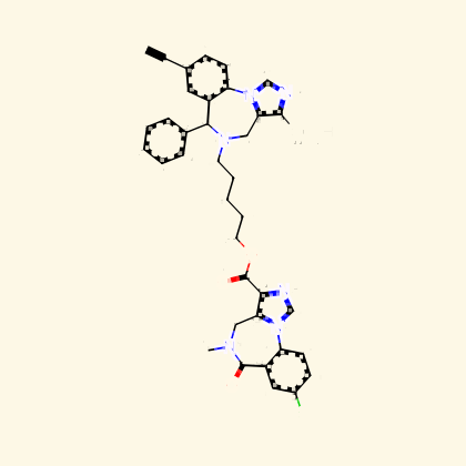 C#Cc1ccc2c(c1)C(c1ccccc1)N(CCCCCOC(=O)c1ncn3c1CN(C)C(=O)c1cc(Cl)ccc1-3)Cc1c(C(=O)O)ncn1-2